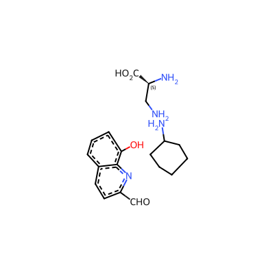 NC1CCCCC1.NC[C@H](N)C(=O)O.O=Cc1ccc2cccc(O)c2n1